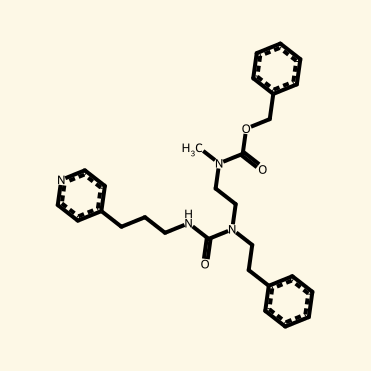 CN(CCN(CCc1ccccc1)C(=O)NCCCc1ccncc1)C(=O)OCc1ccccc1